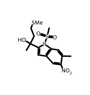 CSCCC(C)(O)c1cc2cc([N+](=O)[O-])c(C)cc2n1S(C)(=O)=O